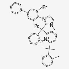 Cc1ccccc1C(C)(C)c1cccc(C(C)(c2ccccc2C)c2n(C)cc[n+]2-c2c(C(C)C)cc(-c3ccccc3)cc2C(C)C)[n+]1C